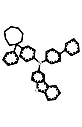 c1ccc(-c2ccc(N(c3ccc(C4(c5ccccc5)CCCCCCC4)cc3)c3ccc4oc5ccccc5c4c3)cc2)cc1